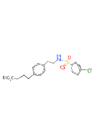 CCOC(=O)CCCc1ccc(CCNS(=O)(=O)c2ccc(Cl)cc2)cc1